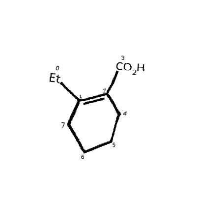 CCC1=C(C(=O)O)CCCC1